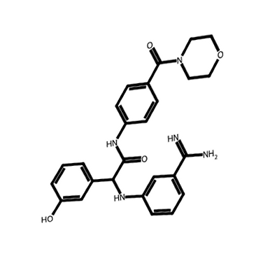 N=C(N)c1cccc(NC(C(=O)Nc2ccc(C(=O)N3CCOCC3)cc2)c2cccc(O)c2)c1